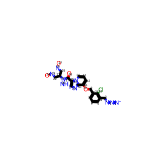 [N-]=[N+]=NCc1cccc(COc2cccn3c(C(=O)N(N)C(CN=O)CN=O)cnc23)c1Cl